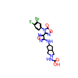 O=C(O)NN1CC2CC(Nc3nonc3-c3noc(=O)n3-c3ccc(F)c(Br)c3)CC2C1